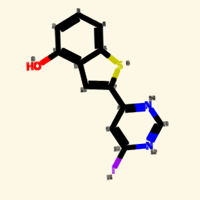 Oc1cccc2sc(-c3cc(I)ncn3)cc12